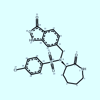 O=C1NCCCC[C@H]1N(Cc1ccc2c(=O)o[nH]c2c1)S(=O)(=O)c1ccc(Cl)cc1